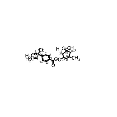 C=C[Si](C=C)(CC)c1ccc(C(=O)OO[C]2CC(C)CC(C)(C)C2)cc1